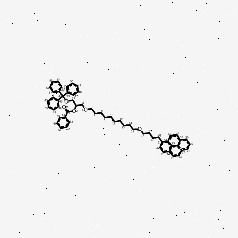 O=C(OC(COCCCCCCCCCCOCCCCc1ccc2ccc3cccc4ccc1c2c34)COC(c1ccccc1)(c1ccccc1)c1ccccc1)c1ccccc1